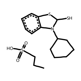 CCCS(=O)(=O)O.SC1Sc2ccccc2N1C1CCCCC1